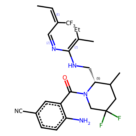 C\C=C(/C=N\C(NC[C@@H]1C(C)CC(F)(F)CN1C(=O)c1cc(C#N)ccc1N)=C(\C)CC)C(F)(F)F